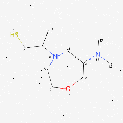 CC(CS)N1CCOCC(N(C)C)C1